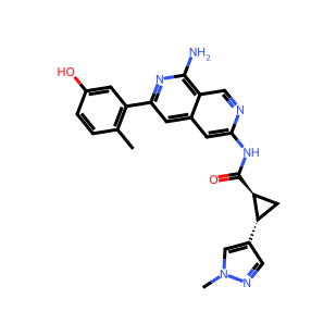 Cc1ccc(O)cc1-c1cc2cc(NC(=O)[C@H]3C[C@@H]3c3cnn(C)c3)ncc2c(N)n1